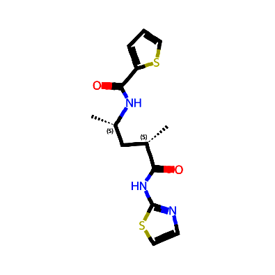 C[C@@H](C[C@H](C)C(=O)Nc1nccs1)NC(=O)c1cccs1